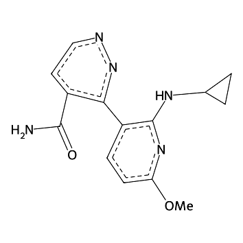 COc1ccc(-c2nnccc2C(N)=O)c(NC2CC2)n1